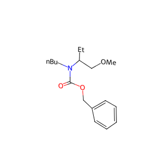 CCCCN(C(=O)OCc1ccccc1)C(CC)COC